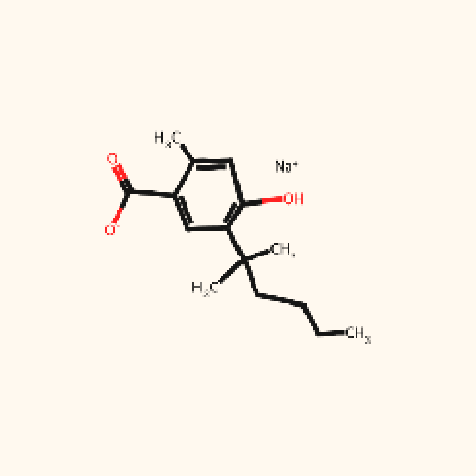 CCCCC(C)(C)c1cc(C(=O)[O-])c(C)cc1O.[Na+]